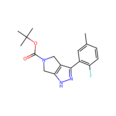 Cc1ccc(F)c(-c2n[nH]c3c2CN(C(=O)OC(C)(C)C)C3)c1